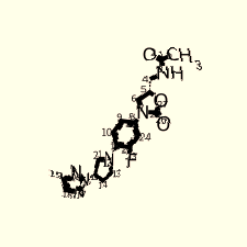 CC(=O)NC[C@H]1CN(c2ccc(N3CC[C@H](n4nccn4)C3)c(F)c2)C(=O)O1